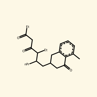 CCCC(CC1CC(=O)c2c(C)cccc2C1)C(CC)C(=O)CC(=O)CC